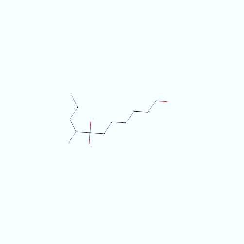 CCCC(C)C(O)(O)CCCCCCO